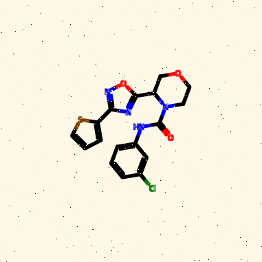 O=C(Nc1cccc(Cl)c1)N1CCOCC1c1nc(-c2cccs2)no1